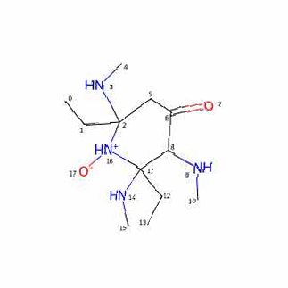 CCC1(NC)CC(=O)C(NC)C(CC)(NC)[NH+]1[O-]